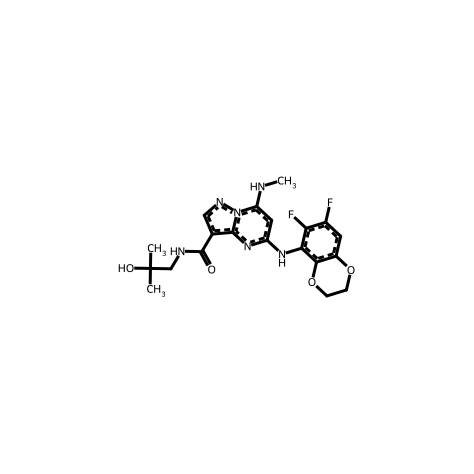 CNc1cc(Nc2c(F)c(F)cc3c2OCCO3)nc2c(C(=O)NCC(C)(C)O)cnn12